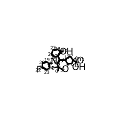 CC1(C)COC2C[C@@](C)(C(=O)O)CCC2c2c1n(-c1ccc(F)cc1)c1cccc(O)c21